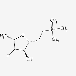 C=P(C)(C)CC[C@H]1O[C@@H](C)C(F)[C@@H]1O